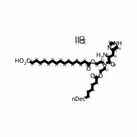 CCCCCCCCCCCCCCCC(=O)OCCN(CCOC(=O)CCCCCCCCCCCCCCC(=O)O)C(=O)[C@@H](N)Cc1c[nH]cn1.Cl.Cl